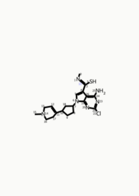 C/N=C(\S)c1cn(C2CCC(C3=CCN(C)CC3)C2)c2nc(Cl)nc(N)c12